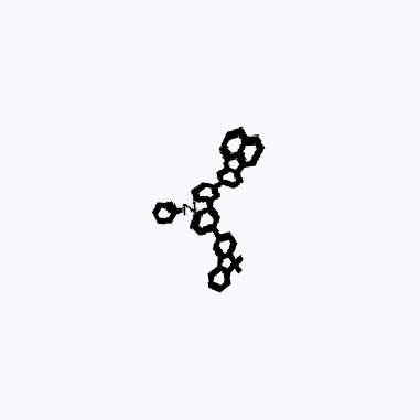 CC1(C)c2ccccc2-c2cc(-c3ccc4c(c3)c3cc(-c5ccc6c(c5)-c5cccc7cccc-6c57)ccc3n4-c3ccccc3)ccc21